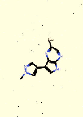 Cn1cc(-c2c[nH]c3ncc(C(C)(C)C)nc23)cn1